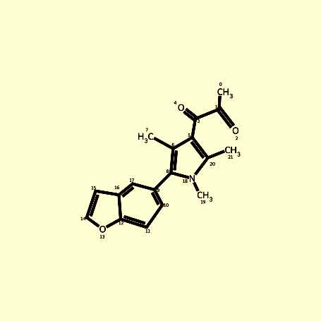 CC(=O)C(=O)c1c(C)c(-c2ccc3occc3c2)n(C)c1C